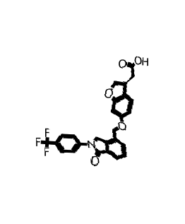 O=C(O)C[C@@H]1COc2cc(OCc3cccc4c3CN(c3ccc(C(F)(F)F)cc3)C4=O)ccc21